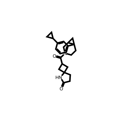 O=C1CCC2(CC(C(=O)N3CCC4(c5cccc(C6CC6)c5)CC4C3)C2)N1